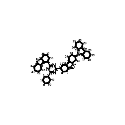 c1ccc(-c2nc(-c3ccc4oc5cc(-n6c7ccccc7c7ccccc76)ccc5c4c3)nc(-c3cccc4sc5ccccc5c34)n2)cc1